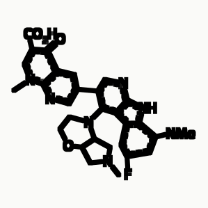 CNc1cc(F)cc2c1[nH]c1ncc(-c3cnc4c(c3)c(=O)c(C(=O)O)cn4C)c(N3CCOC4CN(C)CC43)c12